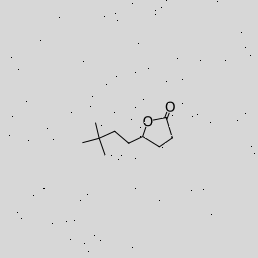 CC(C)(C)CCC1CCC(=O)O1